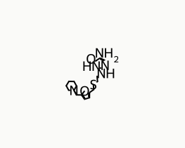 Nc1cnc(NCCSCc2ccc(CN3CCCCC3)o2)[nH]c1=O